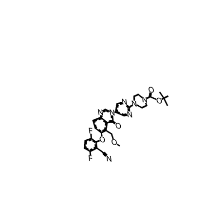 COCc1c(Oc2c(F)ccc(F)c2C#N)ccc2ncn(-c3cnc(N4CCN(C(=O)OC(C)(C)C)CC4)nc3)c(=O)c12